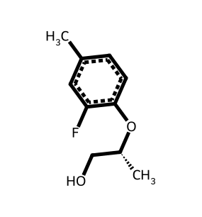 Cc1ccc(O[C@H](C)CO)c(F)c1